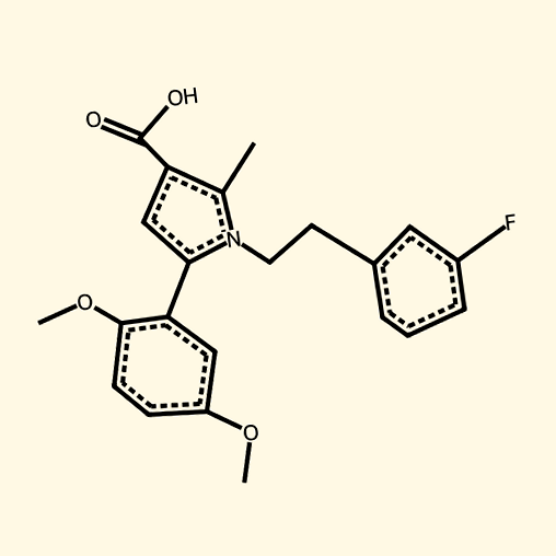 COc1ccc(OC)c(-c2cc(C(=O)O)c(C)n2CCc2cccc(F)c2)c1